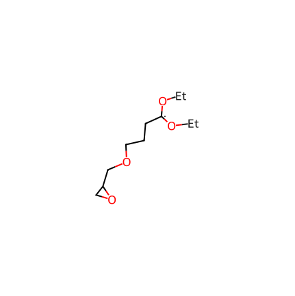 CCO[C](CCCOCC1CO1)OCC